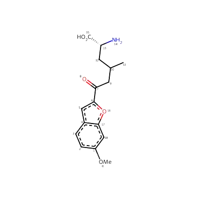 COc1ccc2cc(C(=O)CC(C)C[C@@H](N)C(=O)O)oc2c1